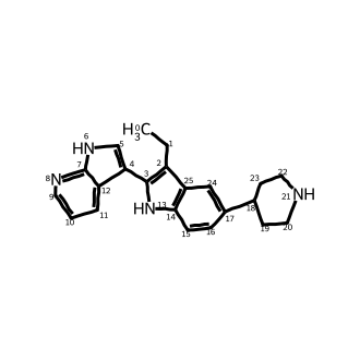 CCc1c(-c2c[nH]c3ncccc23)[nH]c2ccc(C3CCNCC3)cc12